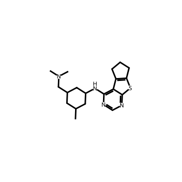 CC1CC(CN(C)C)CC(Nc2ncnc3sc4c(c23)CCC4)C1